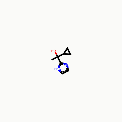 CC(O)(c1ncc[nH]1)C1CC1